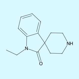 CCN1C(=O)C2(CCNCC2)c2ccccc21